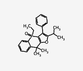 CCP1(=O)c2ccccc2C(C)(C)c2oc(C(C)C)c(-c3ccccc3)c21